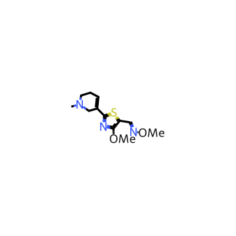 CON=Cc1sc(C2=CCCN(C)C2)nc1OC